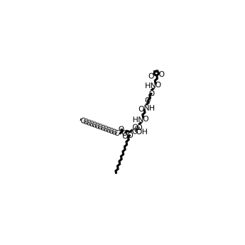 C=C=C=C=C=C=C=C=C=C=C=C=C=C=CC(=O)OCC(COP(=O)(O)OCCNC(=O)CCC(=O)NCCOCCOCCNC(=O)CCC1C(=O)C=CC1=O)OC(=O)CCCCCCCCCCCCCCC